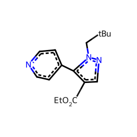 CCOC(=O)c1cnn(CC(C)(C)C)c1-c1ccncc1